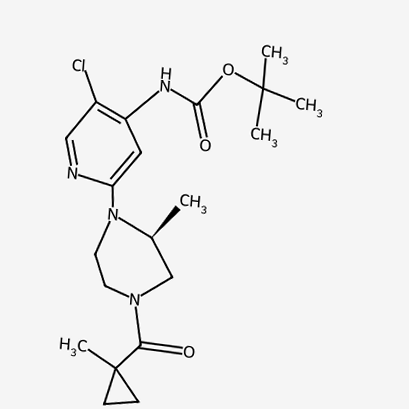 C[C@H]1CN(C(=O)C2(C)CC2)CCN1c1cc(NC(=O)OC(C)(C)C)c(Cl)cn1